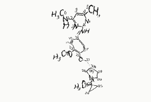 CNc1cc(C)nc(Nc2ccc(OC)c(OC[C@@H]3CCN(C4(C)CC4)C3)c2)n1